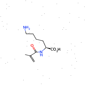 C=C(C)C(=O)N[C@@H](CCCCN)C(=O)O